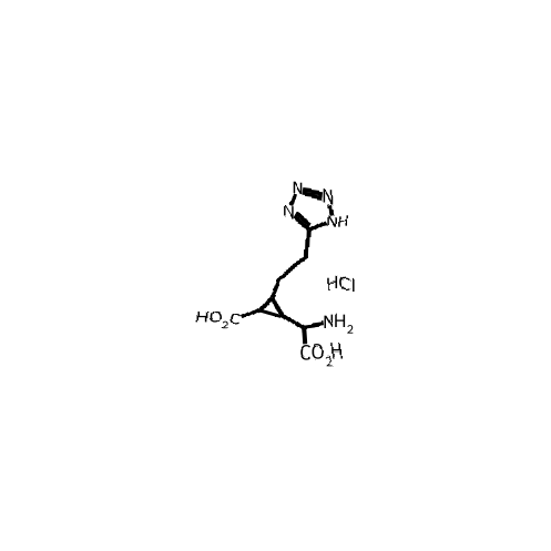 Cl.NC(C(=O)O)C1C(CCc2nnn[nH]2)C1C(=O)O